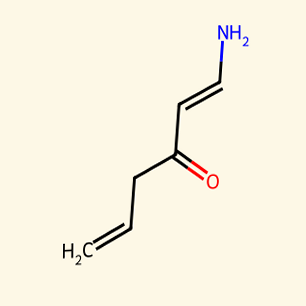 C=CCC(=O)/C=C/N